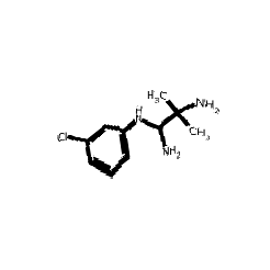 CC(C)(N)C(N)Nc1cccc(Cl)c1